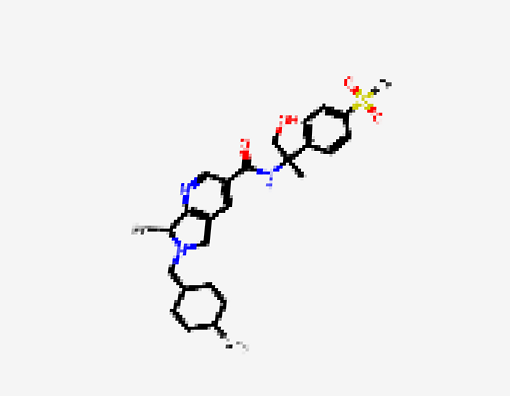 CCS(=O)(=O)c1ccc(C(C)(CO)NC(=O)c2cnc3c(c2)CN(CC2CCC(C(F)(F)F)CC2)C3C(C)C)cc1